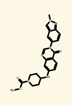 Cn1cc2cc(-n3cnc4cc(NC5CCN(C(=O)OC(C)(C)C)CC5)ccc4c3=O)ccc2n1